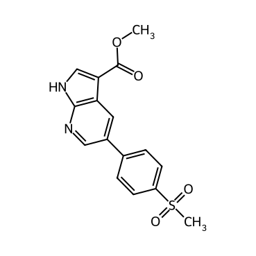 COC(=O)c1c[nH]c2ncc(-c3ccc(S(C)(=O)=O)cc3)cc12